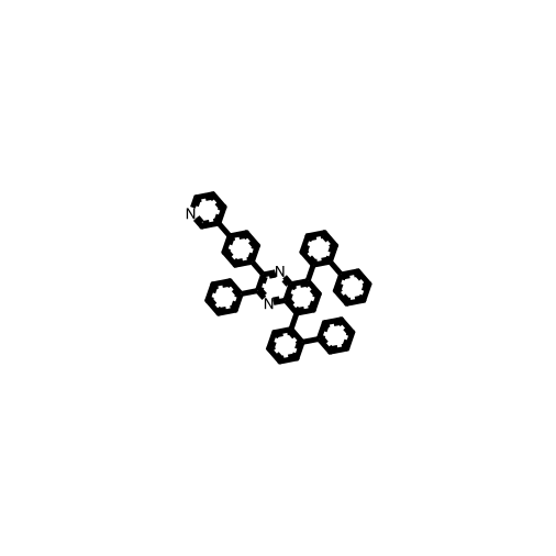 c1ccc(-c2ccccc2-c2ccc(-c3ccccc3-c3ccccc3)c3nc(-c4ccc(-c5cccnc5)cc4)c(-c4ccccc4)nc23)cc1